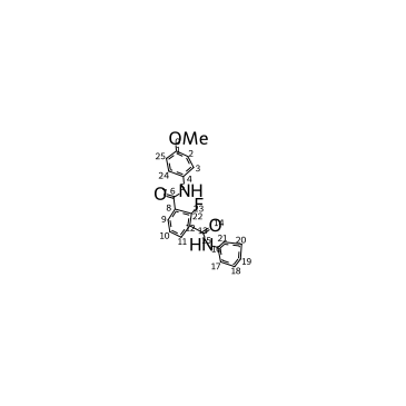 COc1ccc(NC(=O)c2cccc(C(=O)Nc3ccccc3)c2F)cc1